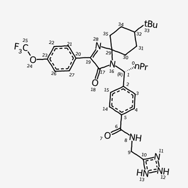 CCC[C@H](c1ccc(C(=O)NCc2n[nH][nH]2)cc1)N1C(=O)C(c2ccc(OC(F)(F)F)cc2)=NC12CCC(C(C)(C)C)CC2